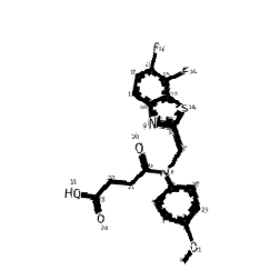 COc1ccc(N(Cc2nc3ccc(F)c(F)c3s2)C(=O)CCC(=O)O)cc1